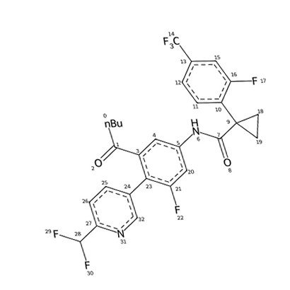 CCCCC(=O)c1cc(NC(=O)C2(c3ccc(C(F)(F)F)cc3F)CC2)cc(F)c1-c1ccc(C(F)F)nc1